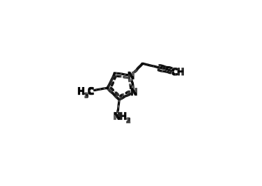 C#CCn1cc(C)c(N)n1